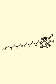 CC(=O)CCCCCOCCCCC[C@@H]1SC[C@@H]2NC(=O)N[C@@H]21